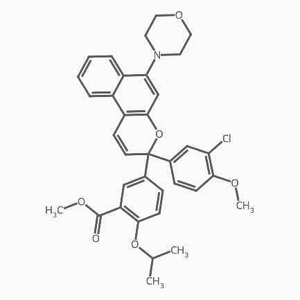 COC(=O)c1cc(C2(c3ccc(OC)c(Cl)c3)C=Cc3c(cc(N4CCOCC4)c4ccccc34)O2)ccc1OC(C)C